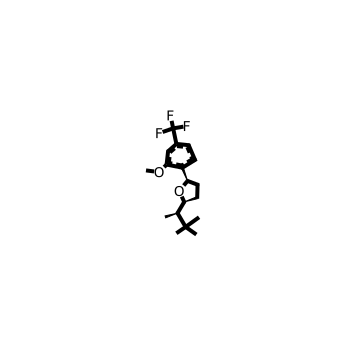 COc1cc(C(F)(F)F)ccc1[C@H]1CC[C@@H]([C@H](C)C(C)(C)C)O1